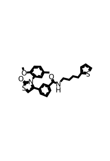 COc1ccc(C)cc1-n1c(-c2cccc(C(=O)NCCCCc3cccs3)c2)csc1=O